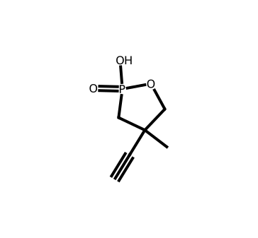 C#CC1(C)COP(=O)(O)C1